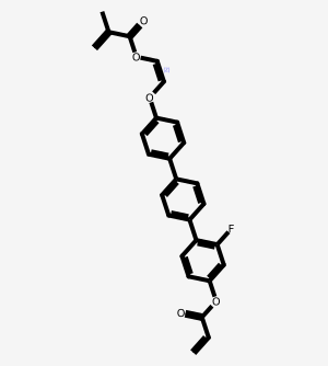 C=CC(=O)Oc1ccc(-c2ccc(-c3ccc(O/C=C\OC(=O)C(=C)C)cc3)cc2)c(F)c1